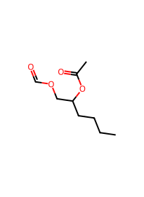 CCCCC(COC=O)OC(C)=O